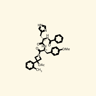 COc1ccc(C[C@H](NC(=O)[C@H](Cc2c[nH]cn2)NC(=O)c2ccccc2)C(=O)N2CC(OC(C)=O)(c3ccccc3C)C2)cc1